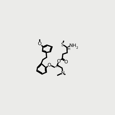 COc1cccc(CCc2ccccc2OC[C@@H](CN(C)C)OC(=O)CC[C@H](N)SC)c1